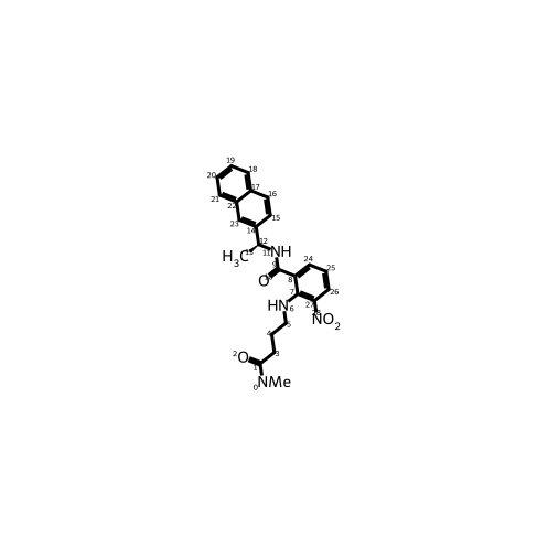 CNC(=O)CCCNc1c(C(=O)N[C@@H](C)c2ccc3ccccc3c2)cccc1[N+](=O)[O-]